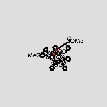 COC(=O)CCCCCCCCO[C@@H]1O[C@H](COCc2ccccc2)[C@@H](O[C@@H]2O[C@@H]3COC(c4ccccc4)O[C@@H]3[C@H](OC(=O)c3ccccc3)[C@H]2OC(=O)c2ccccc2)[C@H](O[C@@H]2O[C@@H](C)[C@@H](OCc3ccc(OC)cc3)[C@@H](OCc3ccccc3)[C@@H]2OCc2ccccc2)[C@H]1NC(C)=O